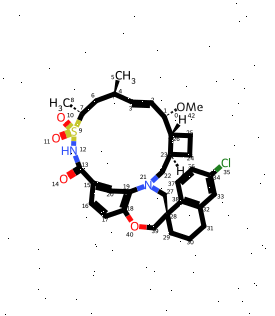 CO[C@H]1/C=C/[C@H](C)C[C@@H](C)S(=O)(=O)NC(=O)c2ccc3c(c2)N(C[C@@H]2CC[C@H]21)C[C@@]1(CCCc2cc(Cl)ccc21)CO3